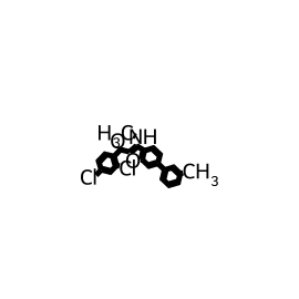 CNc1c(C(=O)c2ccc(Cl)cc2Cl)oc2cc(-c3cccc(C)c3)ccc12